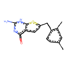 Cc1ccc(Cc2cc3c(=O)nc(N)[nH]c3s2)c(C)c1